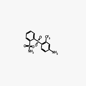 Nc1ccc(S(=O)(=O)c2ccccc2S(N)(=O)=O)c(C(F)(F)F)c1